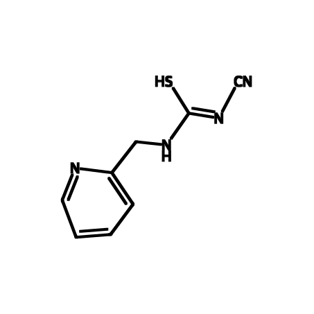 N#CN=C(S)NCc1ccccn1